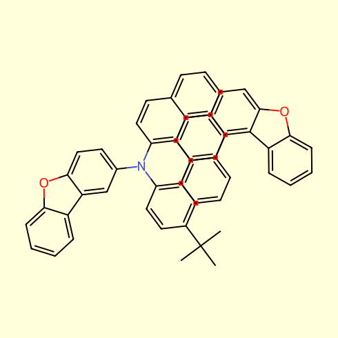 CC(C)(C)c1ccc(N(c2ccc3oc4ccccc4c3c2)c2ccc3ccccc3c2-c2ccccc2-c2cccc3oc4ccccc4c23)c(-c2ccccc2)c1